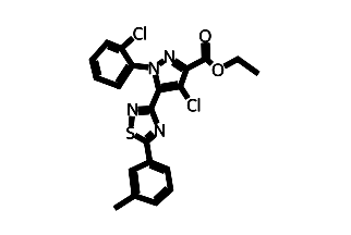 CCOC(=O)c1nn(-c2ccccc2Cl)c(-c2nsc(-c3cccc(C)c3)n2)c1Cl